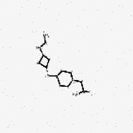 CCN[C@H]1C[C@H](OC2CCN(CC(C)C)CC2)C1